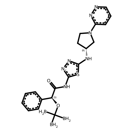 BC(B)(B)O[C@H](C(=O)Nc1nnc(N[C@@H]2CCN(c3cccnn3)C2)s1)c1ccccc1